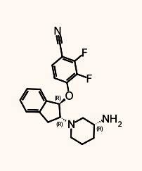 N#Cc1ccc(O[C@@H]2c3ccccc3C[C@H]2N2CCC[C@@H](N)C2)c(F)c1F